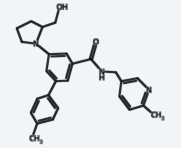 Cc1ccc(-c2cc(C(=O)NCc3ccc(C)nc3)cc(N3CCCC3CO)c2)cc1